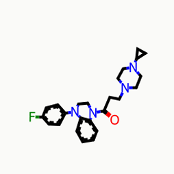 O=C(CCN1CCN(C2CC2)CC1)N1CCN(c2ccc(F)cc2)c2ccccc21